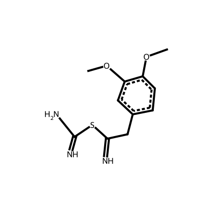 COc1ccc(CC(=N)SC(=N)N)cc1OC